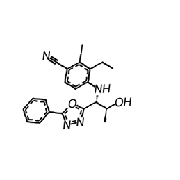 CCc1c(N[C@@H](c2nnc(-c3ccccc3)o2)[C@H](C)O)ccc(C#N)c1I